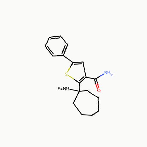 CC(=O)NC1(c2sc(-c3ccccc3)cc2C(N)=O)CCCCCC1